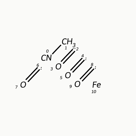 [C-]#[N+]C.[C]=O.[C]=O.[C]=O.[C]=O.[Fe]